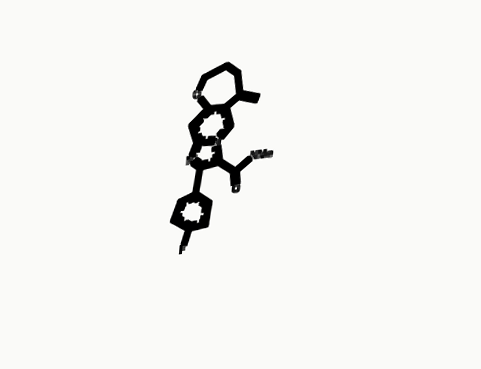 C=C1CCCOc2cc3nc(-c4ccc(F)cc4)c(C(=O)NC)n3cc21